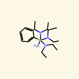 CC[N](CC)[Ta]([NH2])([c]1ccccc1)([N](CC)CC)[N](CC)CC